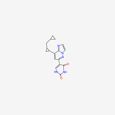 O=c1[nH]cc(-c2cc(C3CC3CC3CC3)c3nccn3n2)c(=O)[nH]1